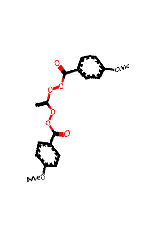 C=C(OOC(=O)c1ccc(OC)cc1)OOC(=O)c1ccc(OC)cc1